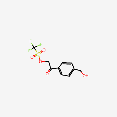 O=C(COS(=O)(=O)C(F)(F)F)c1ccc(CO)cc1